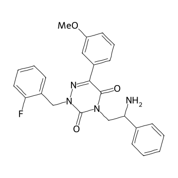 COc1cccc(-c2nn(Cc3ccccc3F)c(=O)n(CC(N)c3ccccc3)c2=O)c1